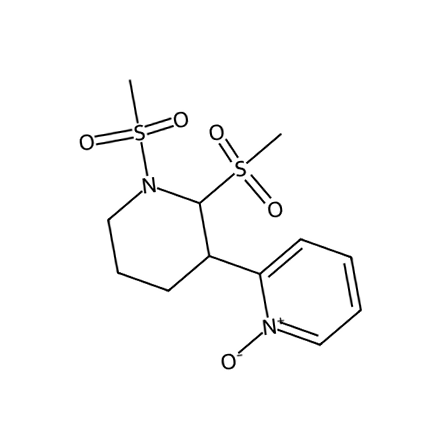 CS(=O)(=O)C1C(c2cccc[n+]2[O-])CCCN1S(C)(=O)=O